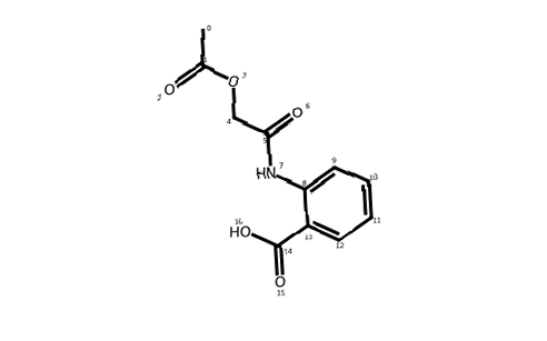 CC(=O)OCC(=O)Nc1ccccc1C(=O)O